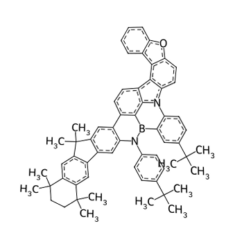 CC(C)(C)c1ccc(N2B3c4cc(C(C)(C)C)ccc4-n4c5ccc6oc7ccccc7c6c5c5ccc(c3c54)-c3cc4c(cc32)-c2cc3c(cc2C4(C)C)C(C)(C)CCC3(C)C)cc1